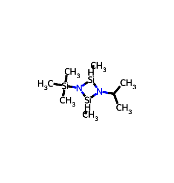 CC(C)N1[SiH](C)N([Si](C)(C)C)[SiH]1C